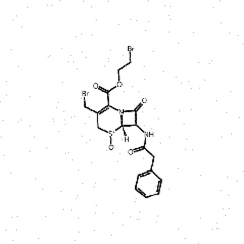 O=C(Cc1ccccc1)NC1C(=O)N2C(C(=O)OCCBr)=C(CBr)C[S+]([O-])[C@@H]12